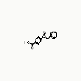 O=C(O)c1ccc([S+]([O-])Cc2ccccc2)cc1